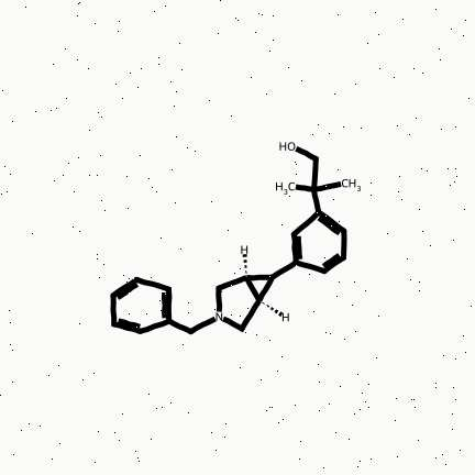 CC(C)(CO)c1cccc(C2[C@H]3CN(Cc4ccccc4)C[C@@H]23)c1